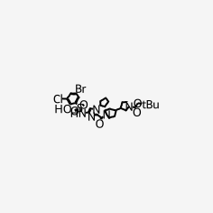 CC(C)(C)OC(=O)N1CCC(C2CCN(C(=O)c3nc(NS(=O)(=O)c4cc(Br)cc(Cl)c4O)cn3C3CCCC3)CC2)C1